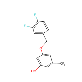 Oc1cc(OCc2ccc(F)c(F)c2)cc(C(F)(F)F)c1